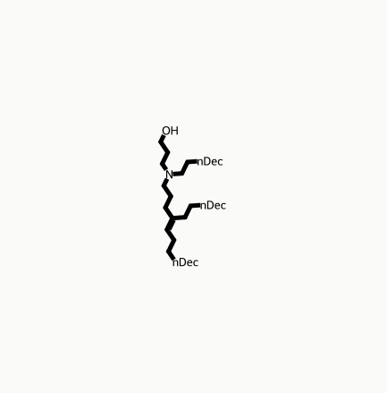 CCCCCCCCCCCC/C=C(\CCCCCCCCCCCC)CCCN(CCCO)CCCCCCCCCCCC